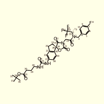 C[C@H](N(Cc1ccc(F)cc1)C(=O)CN1C(=O)O[C@@]2(CCc3cc(NC(=O)NCCCC(=O)OC(C)(C)C)ccc32)C1=O)C(F)(F)F